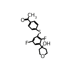 CC(=O)c1ccc(Sc2cc(F)cc(C3(O)CCOCC3)c2F)cc1